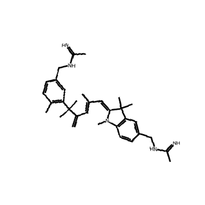 C=C(C=C(C)C=C1N(C)c2ccc(CNC(C)=N)cc2C1(C)C)C(C)(C)c1cc(CNC(C)=N)ccc1C